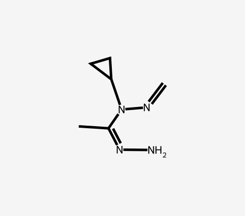 C=NN(/C(C)=N\N)C1CC1